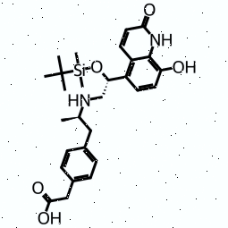 C[C@H](Cc1ccc(CC(=O)O)cc1)NC[C@H](O[Si](C)(C)C(C)(C)C)c1ccc(O)c2[nH]c(=O)ccc12